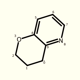 [CH]1CCOc2cccnc21